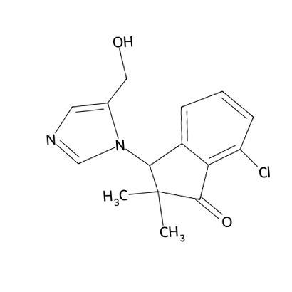 CC1(C)C(=O)c2c(Cl)cccc2C1n1cncc1CO